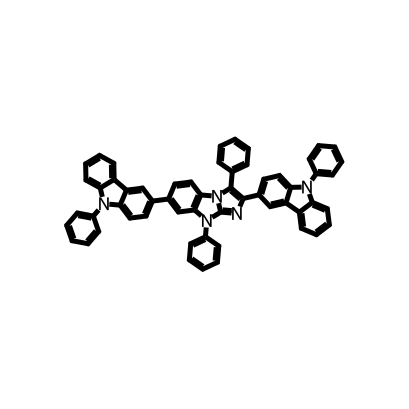 c1ccc(-c2c(-c3ccc4c(c3)c3ccccc3n4-c3ccccc3)nc3n(-c4ccccc4)c4cc(-c5ccc6c(c5)c5ccccc5n6-c5ccccc5)ccc4n23)cc1